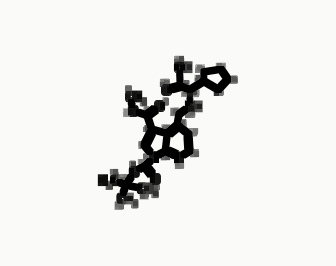 COC(=O)c1cn(C(=O)OC(C)(C)C)c2nccc(CN[C@@H](C(=O)O)C3CCCC3)c12